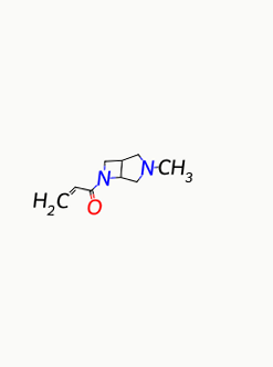 C=CC(=O)N1CC2CN(C)CC21